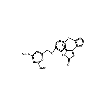 COc1cc(COc2ccc(Sc3ccoc3C3=NC(=O)NC3=O)cc2)cc(OC)c1